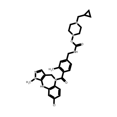 Cc1cc(CNC(=O)ON2CCN(CC3CC3)CC2)ccc1C(=O)N1Cc2cnn(C)c2Nc2cc(Cl)ccc21